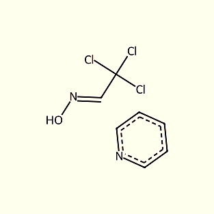 ON=CC(Cl)(Cl)Cl.c1ccncc1